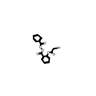 CC(C)CC(=O)Oc1ccccc1C(=O)OOC(=O)c1ccccc1